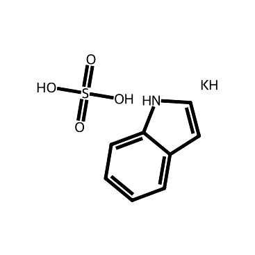 O=S(=O)(O)O.[KH].c1ccc2[nH]ccc2c1